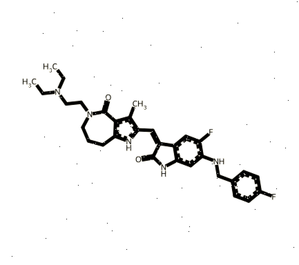 CCN(CC)CCN1CCCc2[nH]c(C=C3C(=O)Nc4cc(NCc5ccc(F)cc5)c(F)cc43)c(C)c2C1=O